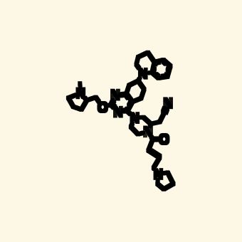 CN1CCCC1COc1nc2c(c(N3CCN(C(=O)C=CCN4CCCC4)C(CC#N)C3)n1)CCC(N1CCCc3ccccc31)C2